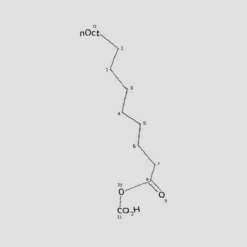 CCCCCCCCCCCCCCCC(=O)OC(=O)O